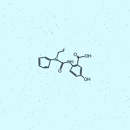 O=C(O)c1cc(O)ccc1NC(=O)N(CF)c1ccccc1